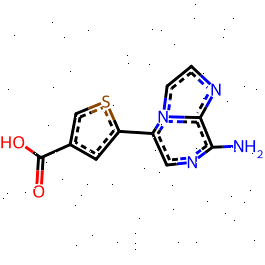 Nc1ncc(-c2cc(C(=O)O)cs2)n2ccnc12